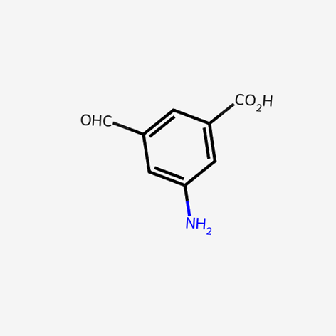 Nc1cc(C=O)cc(C(=O)O)c1